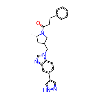 C[C@H]1CC(Cn2cnc3cc(-c4cn[nH]c4)ccc32)CN1C(=O)CCc1ccccc1